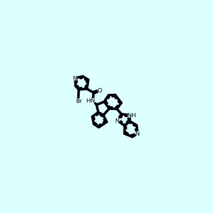 O=C(NC1c2ccccc2-c2c(-c3nc4ccncc4[nH]3)cccc21)c1ccncc1Br